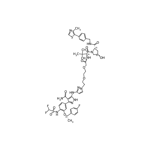 Cc1ncsc1-c1ccc(CNC(=O)[C@@H]2C[C@@H](O)CN2C(=O)[C@@H](NC(=O)COCCOCCn2ccc(Nc3[nH]nc(-c4ccc(NS(=O)(=O)C(F)F)c(O[C@@H](C)c5ccc(F)cc5)c4)c3C(N)=O)n2)C(C)(C)C)cc1